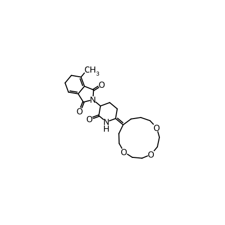 CC1=C2C(=O)N(C3CC/C(=C4\CCCOCCOCCOCC4)NC3=O)C(=O)C2=CCC1